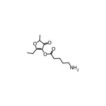 CCC1=C(OC(=O)CCCCN)C(=O)C(C)O1